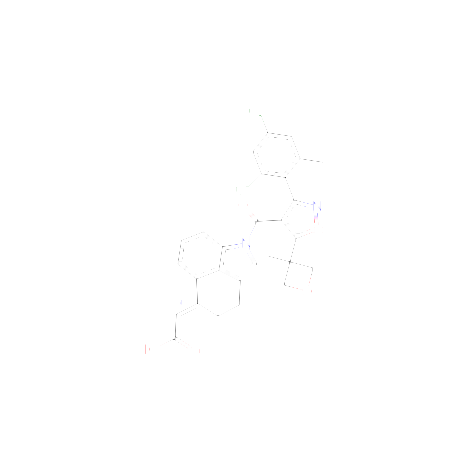 Cc1cc(Cl)cc(Cl)c1-c1noc(C2(C)COC2)c1C(=O)n1cc2c3c(cccc31)/C(=C/C(=O)O)CC2